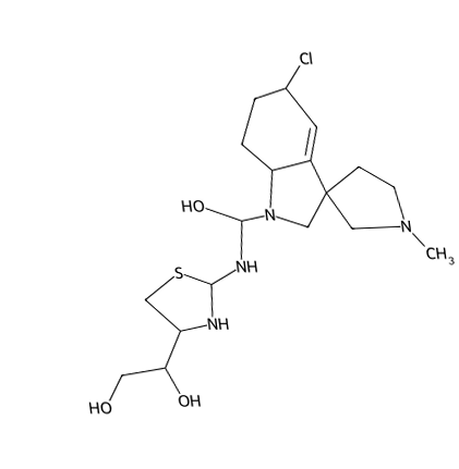 CN1CCC2(C1)CN(C(O)NC1NC(C(O)CO)CS1)C1CCC(Cl)C=C12